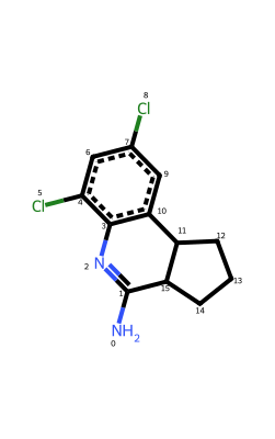 NC1=Nc2c(Cl)cc(Cl)cc2C2CCCC12